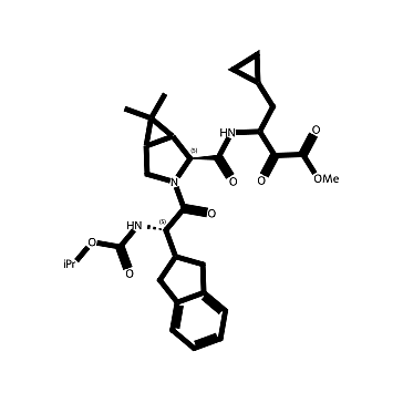 COC(=O)C(=O)C(CC1CC1)NC(=O)[C@@H]1C2C(CN1C(=O)[C@@H](NC(=O)OC(C)C)C1Cc3ccccc3C1)C2(C)C